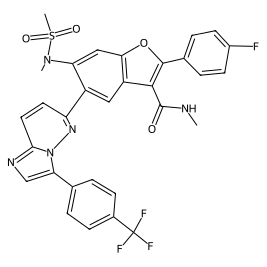 CNC(=O)c1c(-c2ccc(F)cc2)oc2cc(N(C)S(C)(=O)=O)c(-c3ccc4ncc(-c5ccc(C(F)(F)F)cc5)n4n3)cc12